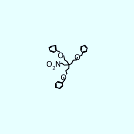 O=[N+]([O-])CCC(CCCOCc1ccccc1)(CCCOCc1ccccc1)CCCOCc1ccccc1